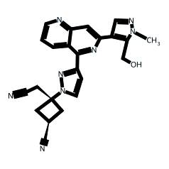 Cn1ncc(-c2cc3ncccc3c(-c3ccn([C@]4(CC#N)C[C@@H](C#N)C4)n3)n2)c1CO